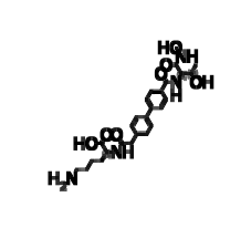 C[C@@H](O)[C@H](NC(=O)c1ccc(-c2ccc(CC(=O)N[C@@H](CCCCN)C(=O)O)cc2)cc1)C(=O)NO